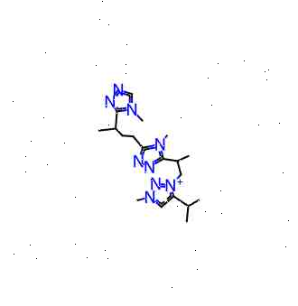 CC(C)c1cn(C)n[n+]1CC(C)c1nnc(CCC(C)c2nncn2C)n1C